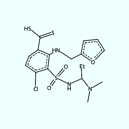 CCC(NS(=O)(=O)c1c(Cl)ccc(C(=S)S)c1NCc1ccco1)N(C)C